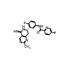 Cc1ncc2c(n1)C[C@@H](c1cc(NC(=O)c3ccc(F)cn3)ccc1F)NC2=N